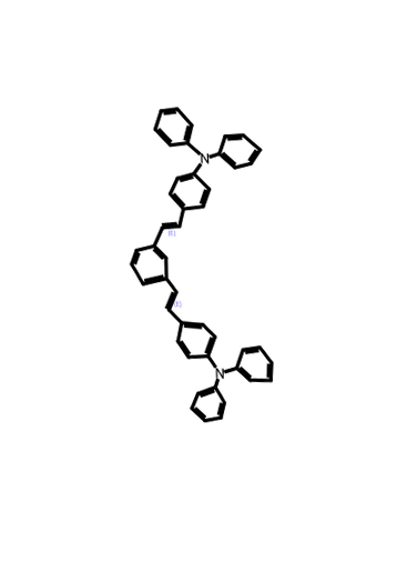 C(=C\c1cccc(/C=C/c2ccc(N(c3ccccc3)c3ccccc3)cc2)c1)/c1ccc(N(c2ccccc2)c2ccccc2)cc1